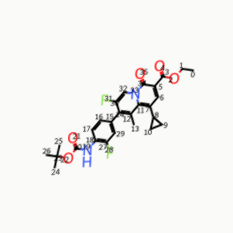 CCOC(=O)c1cc(C2CC2)c2c(C)c(-c3ccc(NC(=O)OC(C)(C)C)c(F)c3)c(F)cn2c1=O